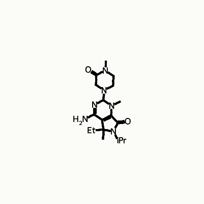 CCC1(C)C2=C(C(=O)N1C(C)C)N(C)C(N1CCN(C)C(=O)C1)N=C2N